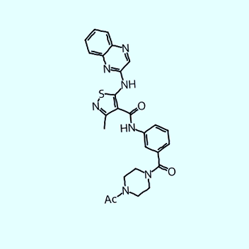 CC(=O)N1CCN(C(=O)c2cccc(NC(=O)c3c(C)nsc3Nc3cnc4ccccc4n3)c2)CC1